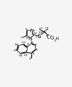 Cc1ccc(-n2c(C)cnc2SC(C)(C)C(=O)O)c2ccccc12